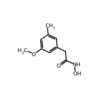 COc1cc(C)cc(CC(=O)NO)c1